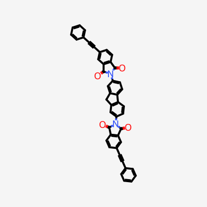 O=C1c2ccc(C#Cc3ccccc3)cc2C(=O)N1c1ccc2c(c1)Cc1cc(N3C(=O)c4ccc(C#Cc5ccccc5)cc4C3=O)ccc1-2